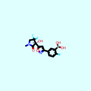 CN1CC(F)(F)[C@@](O)(c2cc(-c3ccc(F)c(B(O)O)c3)no2)C1=O